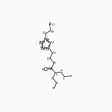 CCCC(CCC)C(=O)CCCc1cn(CCF)nn1